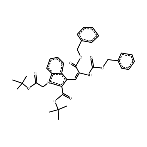 CC(C)(C)OC(=O)Cn1c(C(=O)OC(C)(C)C)c(/C=C(/NC(=O)OCc2ccccc2)C(=O)OCc2ccccc2)c2ccccc21